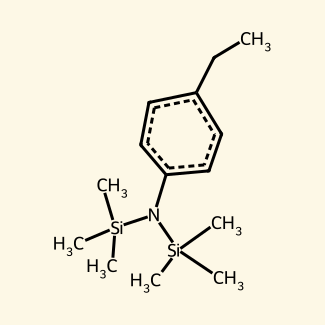 CCc1ccc(N([Si](C)(C)C)[Si](C)(C)C)cc1